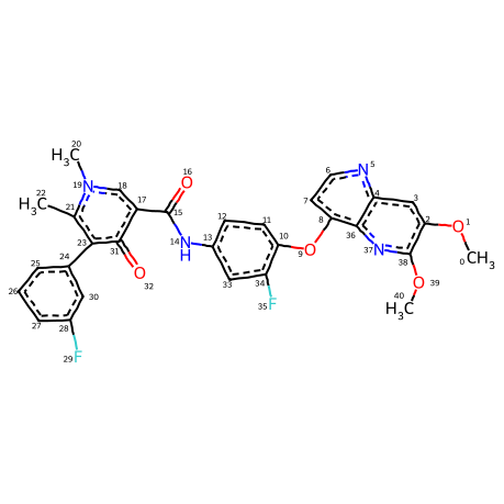 COc1cc2nccc(Oc3ccc(NC(=O)c4cn(C)c(C)c(-c5cccc(F)c5)c4=O)cc3F)c2nc1OC